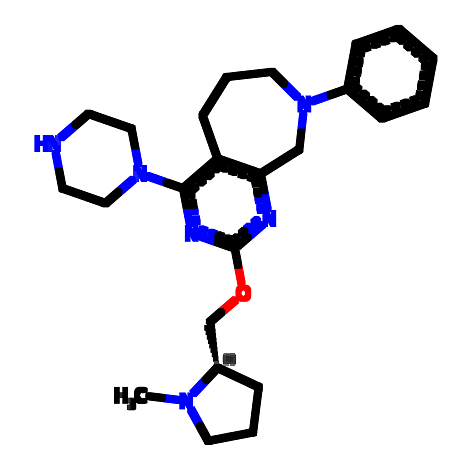 CN1CCC[C@H]1COc1nc2c(c(N3CCNCC3)n1)CCCN(c1ccccc1)C2